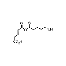 O=C(O)CCCC(=O)OC(=O)CCCCO